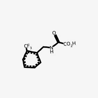 O=C(O)C(=O)NCc1ccccc1C(F)(F)F